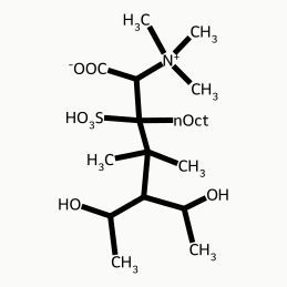 CCCCCCCCC(C(C(=O)[O-])[N+](C)(C)C)(C(C)(C)C(C(C)O)C(C)O)S(=O)(=O)O